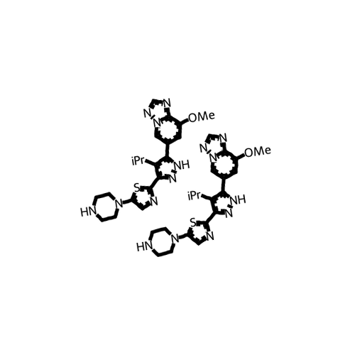 COc1cc(-c2[nH]nc(-c3ncc(N4CCNCC4)s3)c2C(C)C)cn2ncnc12.COc1cc(-c2[nH]nc(-c3ncc(N4CCNCC4)s3)c2C(C)C)cn2ncnc12